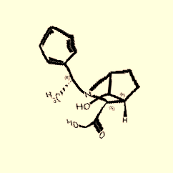 C[C@H](c1ccccc1)N1C2CC[C@@H](C2O)[C@H]1C(=O)O